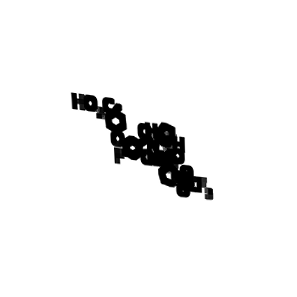 COc1cc(F)c(O[C@H]2CC[C@@](C)(C(=O)O)CC2)cc1C(=O)N[C@@H]1[C@H]2CC[C@H](C2)[C@@H]1C(=O)N[C@H]1CCCN(S(=O)(=O)C(F)(F)F)C1